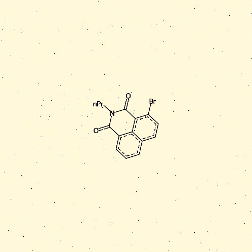 CCCN1C(=O)c2cccc3ccc(Br)c(c23)C1=O